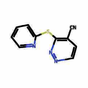 N#Cc1ccnnc1Sc1ccccn1